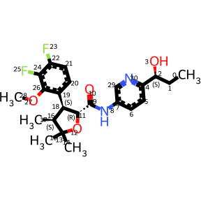 CC[C@H](O)c1ccc(NC(=O)[C@@H]2OC(C)(C)[C@@H](C)[C@H]2c2ccc(F)c(F)c2OC)cn1